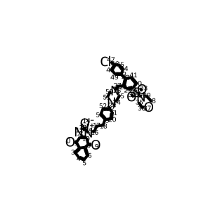 O=C1c2ccccc2C(=O)c2c1n[n+]([O-])n2CCCc1ccc(N2CCN(Cc3cc(S(=O)(=O)N4CCOCC4)ccc3-c3ccc(Cl)cc3)CC2)cc1